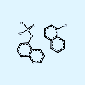 O=P(O)(O)Oc1cccc2ccccc12.Oc1cccc2ccccc12